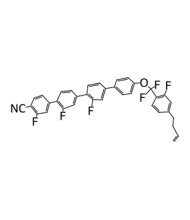 C=CCCc1ccc(C(F)(F)Oc2ccc(-c3ccc(-c4ccc(-c5ccc(C#N)c(F)c5)c(F)c4)c(F)c3)cc2)c(F)c1